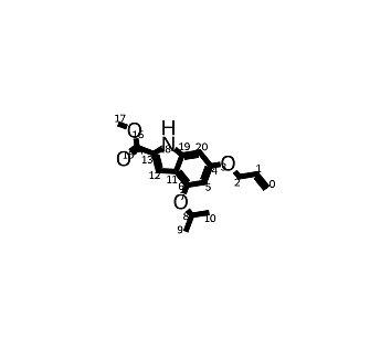 C=CCOc1cc(OC(C)C)c2cc(C(=O)OC)[nH]c2c1